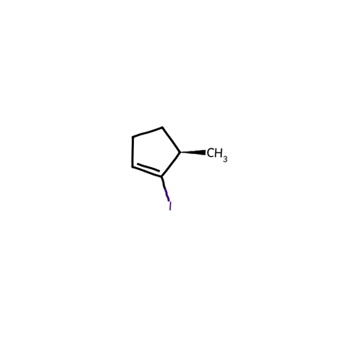 C[C@@H]1CCC=C1I